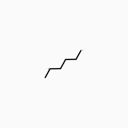 [CH2]CCC[C]C